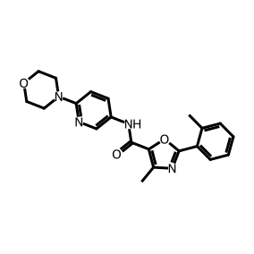 Cc1ccccc1-c1nc(C)c(C(=O)Nc2ccc(N3CCOCC3)nc2)o1